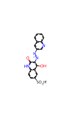 O=c1[nH]c2ccc(S(=O)(=O)O)cc2c(O)c1/N=N/c1cnc2ccccc2c1